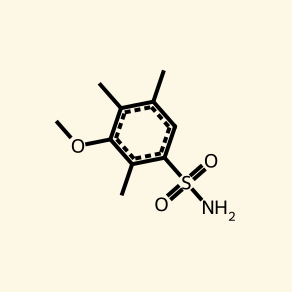 COc1c(C)c(C)cc(S(N)(=O)=O)c1C